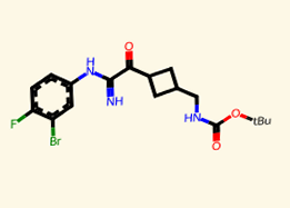 CC(C)(C)OC(=O)NCC1CC(C(=O)C(=N)Nc2ccc(F)c(Br)c2)C1